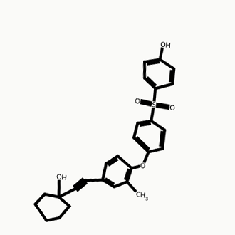 Cc1cc(C#CC2(O)CCCCC2)ccc1Oc1ccc(S(=O)(=O)c2ccc(O)cc2)cc1